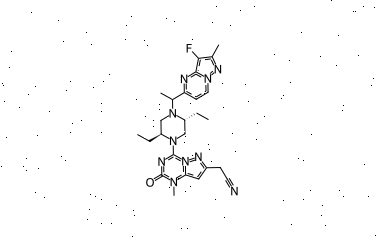 CC[C@H]1CN(C(C)c2ccn3nc(C)c(F)c3n2)[C@H](CC)CN1c1nc(=O)n(C)c2cc(CC#N)nn12